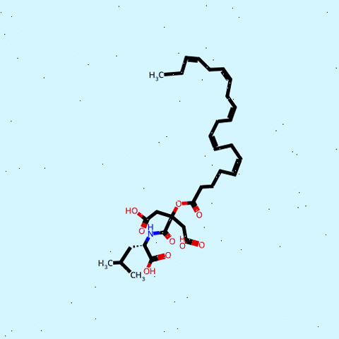 CC/C=C\C/C=C\C/C=C\C/C=C\C/C=C\CCCC(=O)OC(CC(=O)O)(CC(=O)O)C(=O)N[C@@H](CC(C)C)C(=O)O